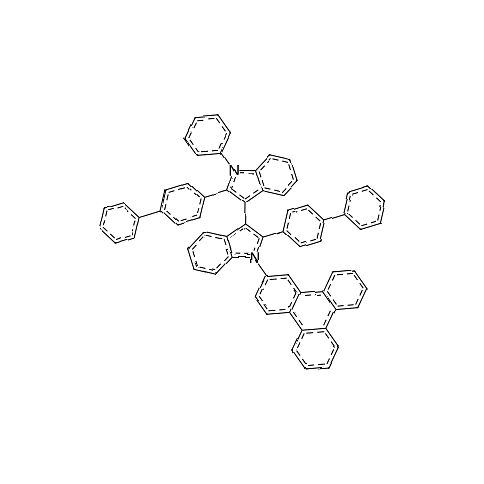 c1ccc(-c2ccc(-c3c(-c4c(-c5ccc(-c6ccccc6)cc5)n(-c5ccc6c7ccccc7c7ccccc7c6c5)c5ccccc45)c4ccccc4n3-c3ccccc3)cc2)cc1